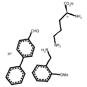 COc1ccccc1CN.NCCC[C@H](N)C(=O)O.O=Cc1ccc(-c2ccccc2)cc1.[H+]